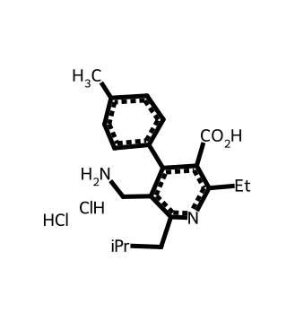 CCc1nc(CC(C)C)c(CN)c(-c2ccc(C)cc2)c1C(=O)O.Cl.Cl